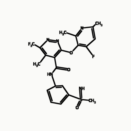 Cc1cc(F)c(Oc2nnc(C(F)(F)F)c(C)c2C(=O)Nc2cccc(S(C)(=N)=O)c2)c(C)n1